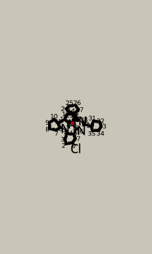 Clc1ccc(-n2c3ccccc3c3ccccc32)c(-c2nc(-c3ccccc3)nc(-c3ccccc3)n2)c1